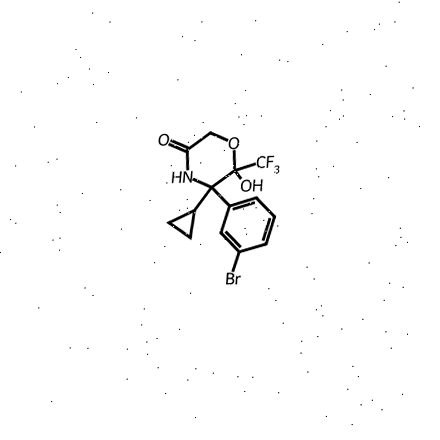 O=C1COC(O)(C(F)(F)F)C(c2cccc(Br)c2)(C2CC2)N1